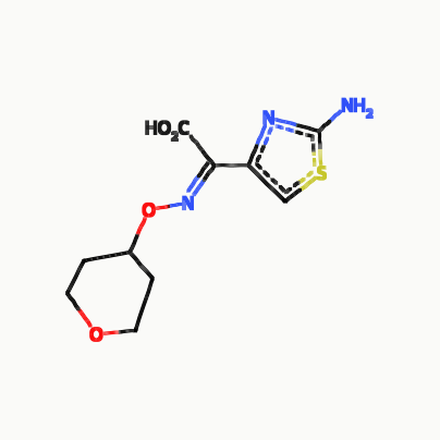 Nc1nc(/C(=N/OC2CCOCC2)C(=O)O)cs1